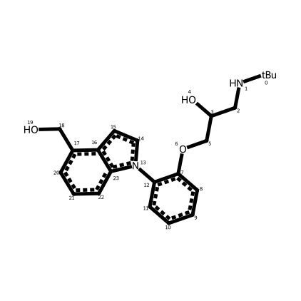 CC(C)(C)NCC(O)COc1ccccc1-n1ccc2c(CO)cccc21